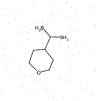 BC(B)C1CCOCC1